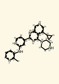 Cc1ncccc1Nc1cc(-c2nc(N3CCNCC3)c3c(C4CC4)cncc3n2)ccn1